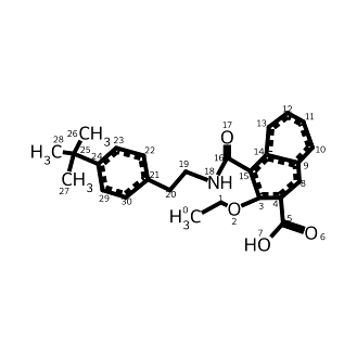 CCOc1c(C(=O)O)cc2ccccc2c1C(=O)NCCc1ccc(C(C)(C)C)cc1